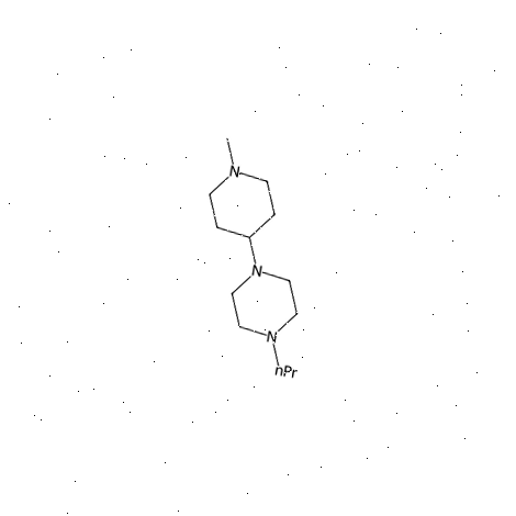 CCCN1CCN(C2CCN(C)CC2)CC1